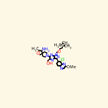 COc1cnc2ccc(-c3nn(COCC[Si](C)(C)C)c4nc(N5CCC6(CC5)CO[C@@H](C)[C@H]6N)c(CO)nc34)c(Cl)c2n1